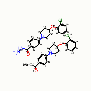 COC(=O)c1ccc(N2CCC(Oc3ccccc3Cl)CC2)cc1.NNC(=O)c1ccc(N2CCC(Oc3ccccc3Cl)CC2)cc1